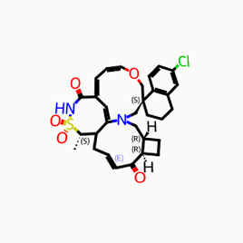 C[C@H]1C2C/C=C/C(=O)[C@@H]3CC[C@H]3CN3C[C@@]4(CCCc5cc(Cl)ccc54)COC=CC=C(C=C23)C(=O)NS1(=O)=O